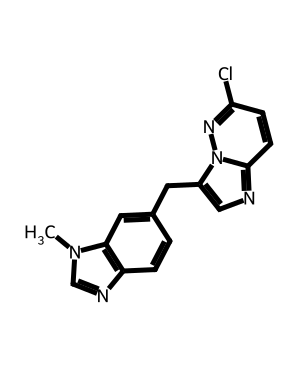 Cn1cnc2ccc(Cc3cnc4ccc(Cl)nn34)cc21